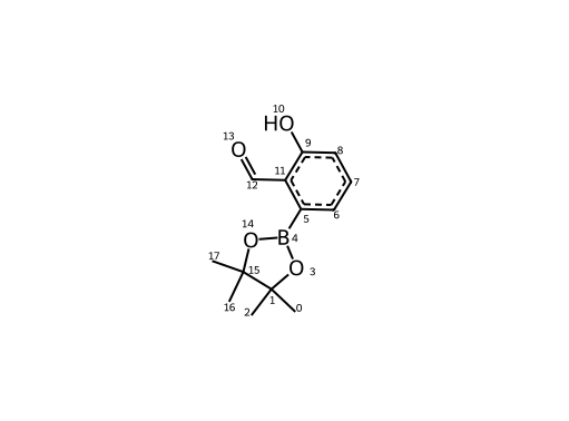 CC1(C)OB(c2cccc(O)c2C=O)OC1(C)C